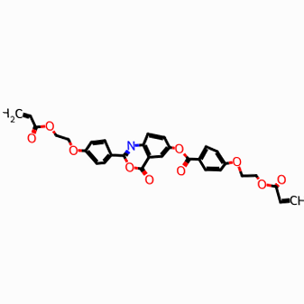 C=CC(=O)OCCOc1ccc(C(=O)Oc2ccc3nc(-c4ccc(OCCOC(=O)C=C)cc4)oc(=O)c3c2)cc1